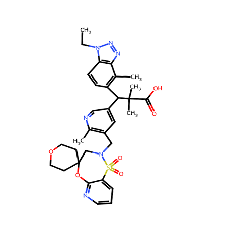 CCn1nnc2c(C)c(C(c3cnc(C)c(CN4CC5(CCOCC5)Oc5ncccc5S4(=O)=O)c3)C(C)(C)C(=O)O)ccc21